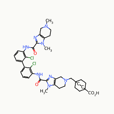 CN1CCc2c(nc(C(=O)Nc3cccc(-c4cccc(NC(=O)c5nc6c(n5C)CCN(CC57CCC(C(=O)O)(CC5)CC7)C6)c4Cl)c3Cl)n2C)C1